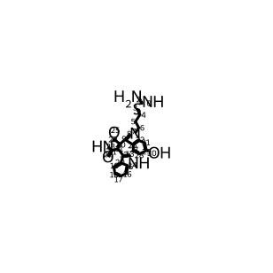 N=C(N)SCCCn1cc(C2=C(c3c[nH]c4ccccc34)C(=O)NC2=O)c2ccc(O)cc21